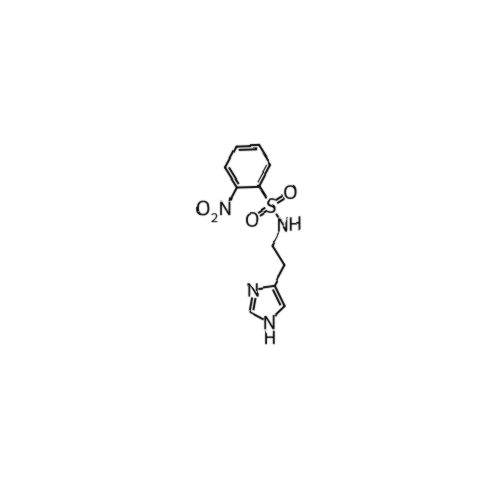 O=[N+]([O-])c1ccccc1S(=O)(=O)NCCc1c[nH]cn1